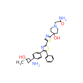 C[C@]1(O)C[C@@](N)(c2ccc(-c3nc(-c4cnc(C5(O)CCN(CC(N)=O)CC5)s4)sc3-c3ccccc3)cc2)C1